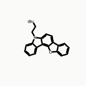 CC(C)(C)CCn1c2ccccc2c2c3oc4ccccc4c3ccc21